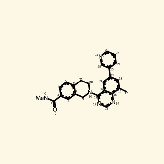 CNC(=O)c1ccc2c(c1)CN(c1ncnc3c(C)cc(-c4cccnc4)cc13)CC2